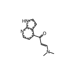 CN(C)/C=C/C(=O)c1ccnc2[nH]ccc12